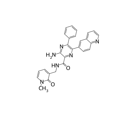 Cn1cccc(CNC(=O)c2nc(-c3ccc4ncccc4c3)c(-c3ccccc3)nc2N)c1=O